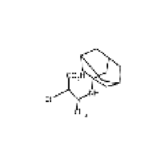 CCC(C(=O)O)N(C)NC12CC3CC(CC(C3)C1)C2